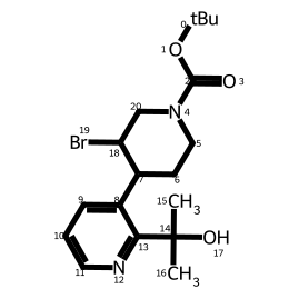 CC(C)(C)OC(=O)N1CCC(c2cccnc2C(C)(C)O)C(Br)C1